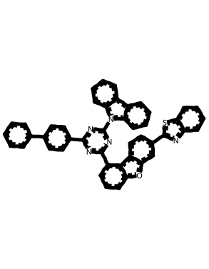 c1ccc(-c2ccc(-c3nc(-c4cccc5oc6cc(-c7nc8ccccc8s7)ccc6c45)nc(-n4c5ccccc5c5ccccc54)n3)cc2)cc1